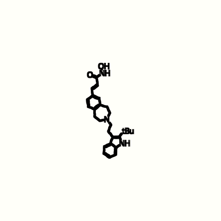 CC(C)(C)c1[nH]c2ccccc2c1CCN1CCc2ccc(C=CC(=O)NO)cc2CC1